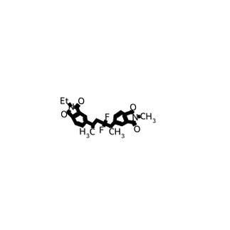 CCN1C(=O)c2ccc(C(C)CC(F)(F)C(C)c3ccc4c(c3)C(=O)N(C)C4=O)cc2C1=O